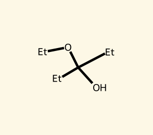 CCOC(O)(CC)CC